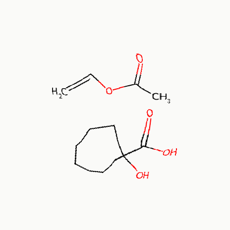 C=COC(C)=O.O=C(O)C1(O)CCCCC1